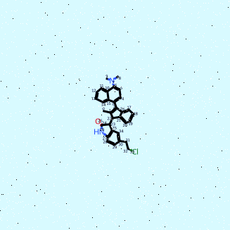 CC1=C(c2ccc(N(C)C)c3ccccc23)c2ccccc2C1C1C(=O)Nc2ccc(CCCl)cc21